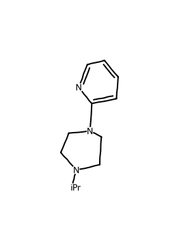 CC(C)N1CCN(c2ccccn2)CC1